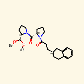 CCOC(OCC)[C@@H]1CCCN1C(=O)[C@@H]1CCCN1C(=O)CC[C@@H]1CCc2ccccc2C1